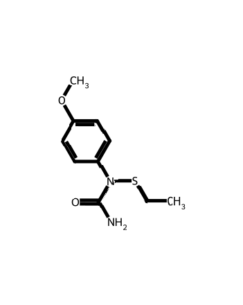 CCSN(C(N)=O)c1ccc(OC)cc1